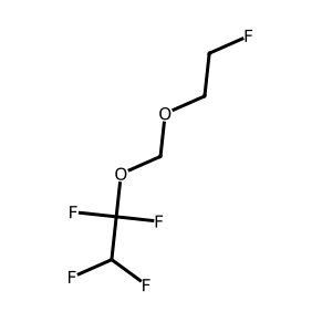 FCCOCOC(F)(F)C(F)F